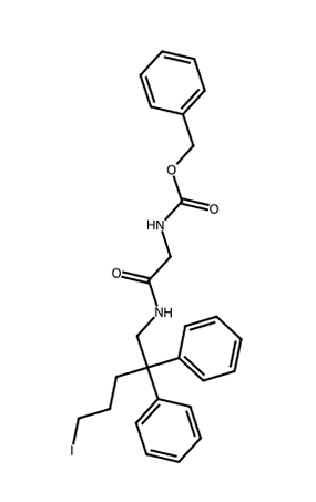 O=C(CNC(=O)OCc1ccccc1)NCC(CCCI)(c1ccccc1)c1ccccc1